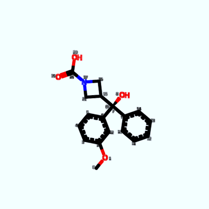 COc1cccc([C@@](O)(c2ccccc2)C2CN(C(=O)O)C2)c1